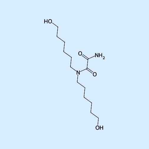 NC(=O)C(=O)N(CCCCCCO)CCCCCCO